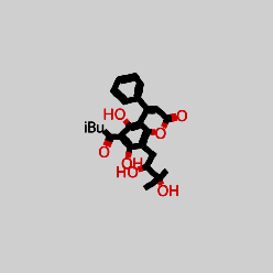 CCC(C)C(=O)c1c(O)c(CC(O)C(C)(C)O)c2oc(=O)cc(-c3ccccc3)c2c1O